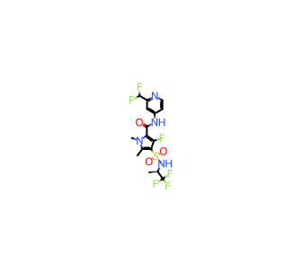 Cc1c(S(=O)(=O)N[C@H](C)C(F)(F)F)c(F)c(C(=O)Nc2ccnc(C(F)F)c2)n1C